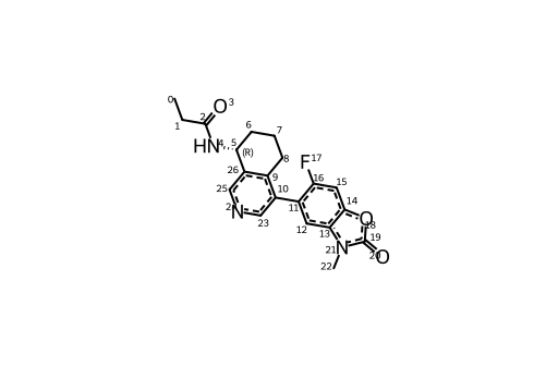 CCC(=O)N[C@@H]1CCCc2c(-c3cc4c(cc3F)oc(=O)n4C)cncc21